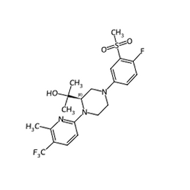 Cc1nc(N2CCN(c3ccc(F)c(S(C)(=O)=O)c3)C[C@@H]2C(C)(C)O)ccc1C(F)(F)F